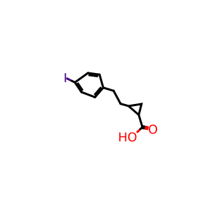 O=C(O)C1CC1CCc1ccc(I)cc1